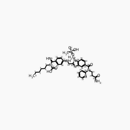 CCCCCCN(C(=N)c1ccc(NCc2nc3cc(C(=O)N(CCC(N)=O)c4ccccn4)ccc3n2C)cc1)C(=O)O.CS(=O)(=O)O